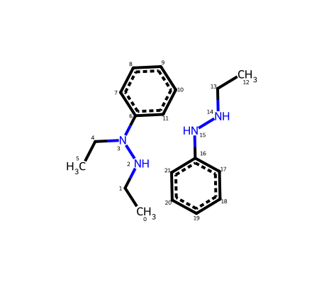 CCNN(CC)c1ccccc1.CCNNc1ccccc1